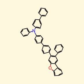 c1ccc(-c2ccc(N(c3ccccc3)c3ccc(-c4ccc(-c5cc6oc7ccccc7c6cc5-c5ccccc5)cc4)cc3)cc2)cc1